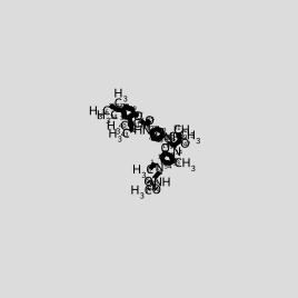 CCN(CCNS(C)(=O)=O)c1ccc(N=C(C(=O)Nc2ccc(NC(=O)COc3ccc(C(C)(C)CC)cc3C(C)(C)CC)cc2)C(=O)C(C)(C)C)c(C)c1